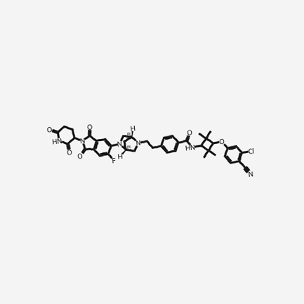 CC1(C)C(NC(=O)c2ccc(CCN3C[C@H]4C[C@@H]3CN4c3cc4c(cc3F)C(=O)N(C3CCC(=O)NC3=O)C4=O)cc2)C(C)(C)C1Oc1ccc(C#N)c(Cl)c1